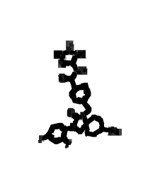 CC(C)(C)C1CCC2(CC1)CN(c1ccc(F)cc1F)C(=O)N2Cc1ccc(C(=O)NC2=NNNN2)cc1